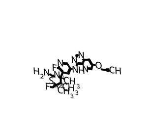 C#CCOc1cnc2c(Nc3cnc(F)c([C@@]4(C)N=C(N)S[C@](C)(CF)[C@H]4C)c3)ncnc2c1